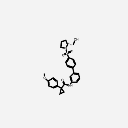 COc1ccc(C2(C(=O)Nc3cccc(-c4ccc(S(=O)(=O)N5CCC[C@@H]5CO)cc4)c3)CC2)cc1